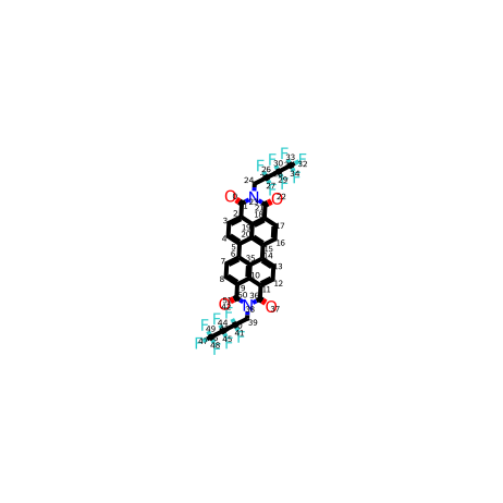 O=C1c2ccc3c4ccc5c6c(ccc(c7ccc(c2c37)C(=O)N1CC(F)(F)C(F)(F)C(F)(F)F)c64)C(=O)N(CC(F)(F)C(F)(F)C(F)(F)F)C5=O